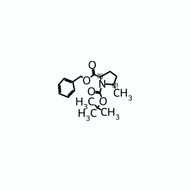 C[C@@H]1CC[C@H](C(=O)OCc2ccccc2)N1C(=O)OC(C)(C)C